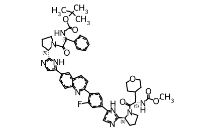 COC(=O)N[C@H](C(=O)N1CCC[C@H]1c1ncc(-c2ccc(-c3ccc4cc(-c5cnc([C@@H]6CCCN6C(=O)[C@H](NC(=O)OC(C)(C)C)c6ccccc6)[nH]5)ccc4n3)c(F)c2)[nH]1)C1CCOCC1